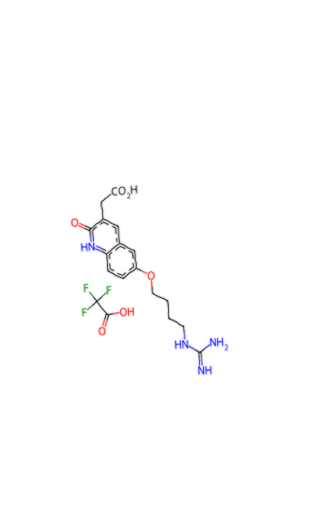 N=C(N)NCCCCOc1ccc2[nH]c(=O)c(CC(=O)O)cc2c1.O=C(O)C(F)(F)F